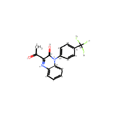 CC(=O)c1nc2ccccc2n(-c2ccc(C(F)(F)F)cc2)c1=O